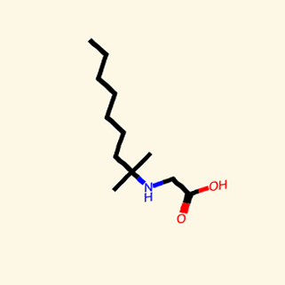 CCCCCCCC(C)(C)NCC(=O)O